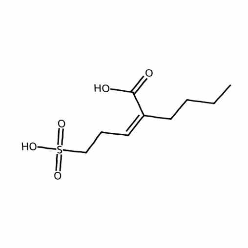 CCCCC(=CCCS(=O)(=O)O)C(=O)O